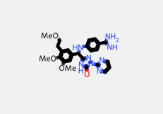 COCCc1cc(C(Nc2ccc(C(=N)N)cc2)c2nn(-c3ncccn3)c(=O)[nH]2)cc(OC)c1OC